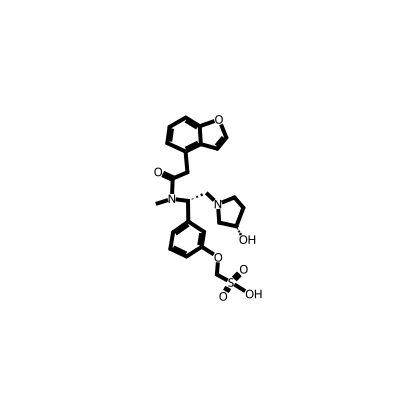 CN(C(=O)Cc1cccc2occc12)[C@H](CN1CC[C@H](O)C1)c1cccc(OCS(=O)(=O)O)c1